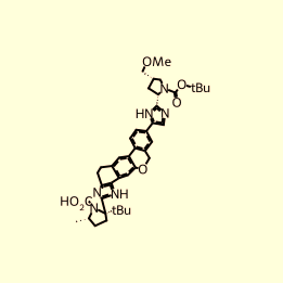 COC[C@H]1C[C@@H](c2ncc(-c3ccc4c(c3)COc3cc5c(cc3-4)CCc3nc([C@@]4(C(C)(C)C)CC[C@H](C)N4C(=O)O)[nH]c3-5)[nH]2)N(C(=O)OC(C)(C)C)C1